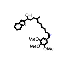 COc1cc(/C=C\CCC=CC=C(C)CCC(O)c2cc3ccccc3s2)cc(OC)c1OC